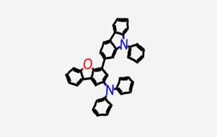 c1ccc(N(c2ccccc2)c2cc(-c3ccc4c5ccccc5n(-c5ccccc5)c4c3)c3oc4ccccc4c3c2)cc1